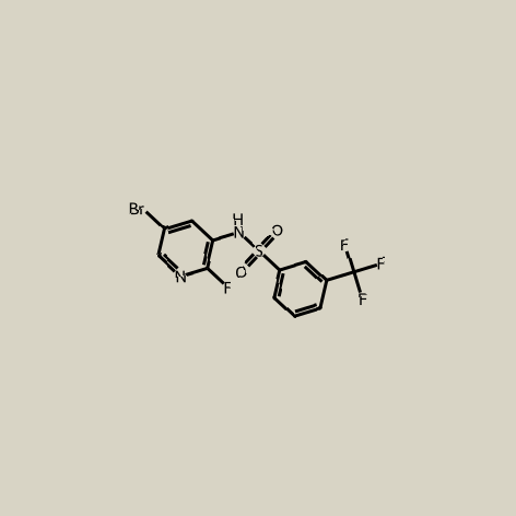 O=S(=O)(Nc1cc(Br)cnc1F)c1cccc(C(F)(F)F)c1